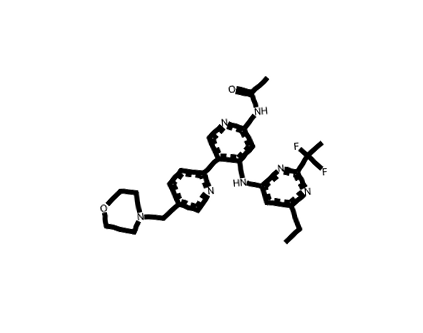 CCc1cc(Nc2cc(NC(C)=O)ncc2-c2ccc(CN3CCOCC3)cn2)nc(C(C)(F)F)n1